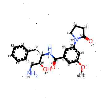 CCOc1cc(C(=O)N[C@@H](Cc2ccccc2)[C@@H](O)CN)cc(N2CCCC2=O)c1